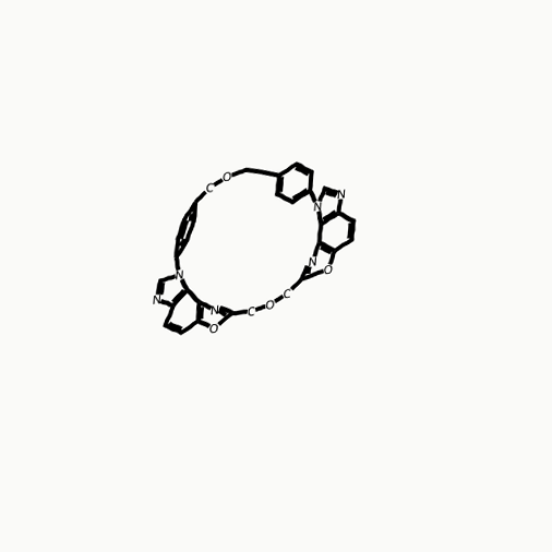 c1cc2ccc1COCc1ccc(cc1)-n1cnc3ccc4oc(nc4c31)COCc1nc3c(ccc4ncn-2c43)o1